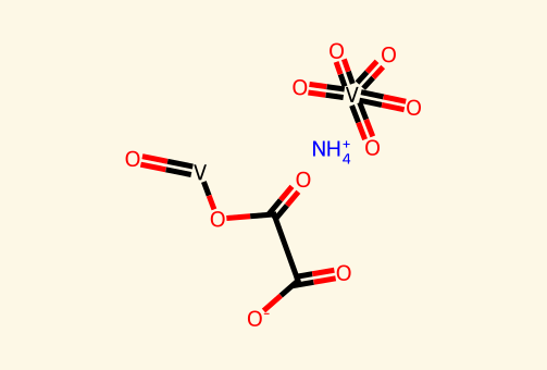 [NH4+].[O]=[V](=[O])(=[O])(=[O])=[O].[O]=[V][O]C(=O)C(=O)[O-]